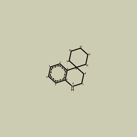 c1ccc2c(c1)NCCC21CCCCC1